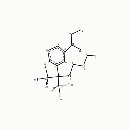 CCOCOC(c1cccc(C(C)CC)c1)(C(F)(F)F)C(F)(F)F